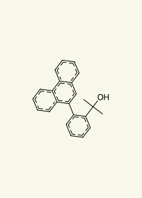 CC(C)(O)c1ccccc1-c1cc2ccccc2c2ccccc12